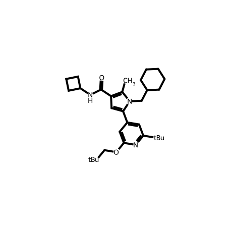 Cc1c(C(=O)NC2CCC2)cc(-c2cc(OCC(C)(C)C)nc(C(C)(C)C)c2)n1CC1CCCCC1